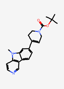 Cn1c2ccncc2c2ccc(C3=CCN(C(=O)OC(C)(C)C)CC3)cc21